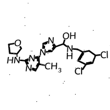 Cc1cnc(N[C@H]2CCOC2)nc1-n1cnc(C(O)NCC2=CC(Cl)=CC(Cl)C2)c1